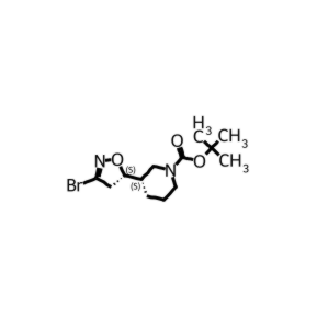 CC(C)(C)OC(=O)N1CCC[C@H]([C@@H]2CC(Br)=NO2)C1